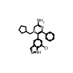 NC1=NC(c2ccccc2)=C(c2cc(Cl)c3[nH]ncc3c2)N(CC2CCCC2)C1